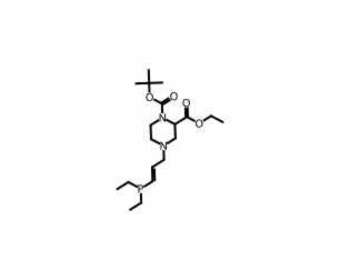 CCOC(=O)C1CN(CC=CP(CC)CC)CCN1C(=O)OC(C)(C)C